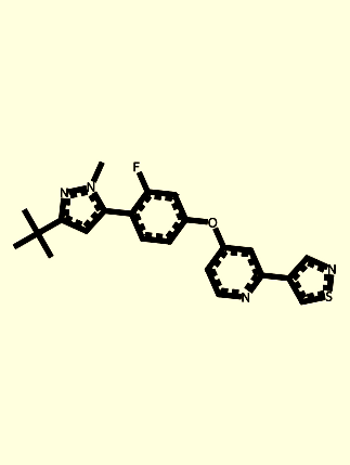 Cn1nc(C(C)(C)C)cc1-c1ccc(Oc2ccnc(-c3cnsc3)c2)[c]c1F